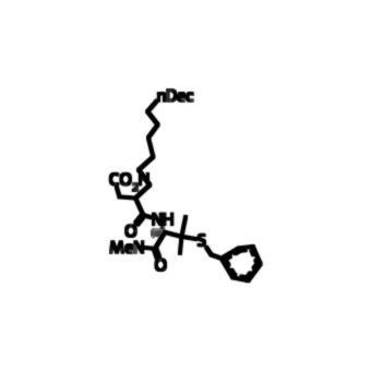 CCCCCCCCCCCCCCCCC(CC(=O)O)C(=O)N[C@@H](C(=O)NC)C(C)(C)SCc1ccccc1